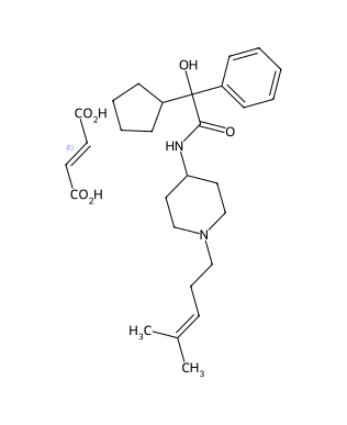 CC(C)=CCCN1CCC(NC(=O)C(O)(c2ccccc2)C2CCCC2)CC1.O=C(O)/C=C/C(=O)O